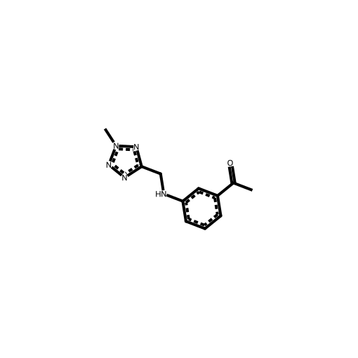 CC(=O)c1cccc(NCc2nnn(C)n2)c1